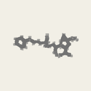 CC12CC(C(N)=O)N(C(=O)CNC(=O)CCCOc3ccccc3)C1C2